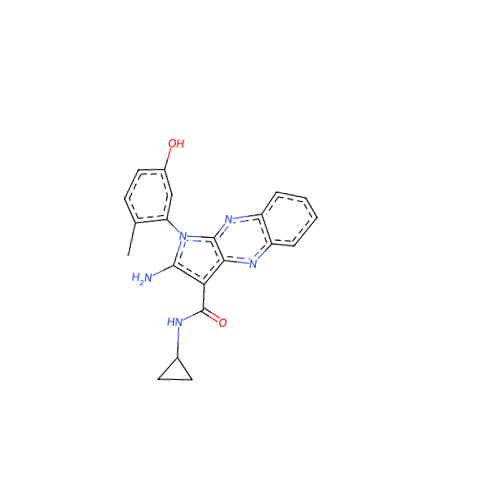 Cc1ccc(O)cc1-n1c(N)c(C(=O)NC2CC2)c2nc3ccccc3nc21